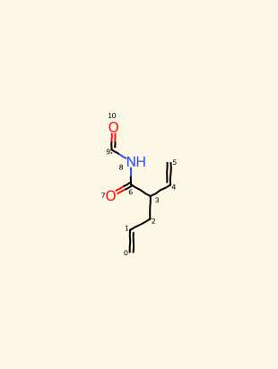 C=CCC(C=C)C(=O)N[C]=O